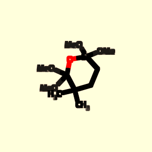 COC1(OC)O[Si](OC)(OC)CCC1(C)C